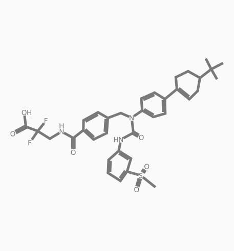 CC(C)(C)C1CC=C(c2ccc(N(Cc3ccc(C(=O)NCC(F)(F)C(=O)O)cc3)C(=O)Nc3cccc(S(C)(=O)=O)c3)cc2)CC1